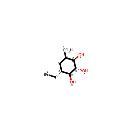 CC(C)C[C@@H]1CC(C(=O)O)[C@@H](O)[C@H](O)C1O